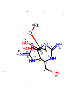 CCO[C@H]1CN2C(=N)N[C@@H](CO)C3NC(=N)N[C@@]32C1(O)O